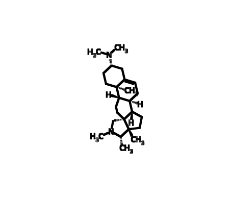 C[C@@H]1N(C)C[C@]23CC[C@H]4[C@@H](CC=C5C[C@@H](N(C)C)CC[C@@]54C)[C@@H]2CC[C@]13C